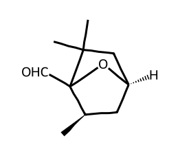 C[C@@H]1C[C@@H]2CC(C)(C)C1(C=O)O2